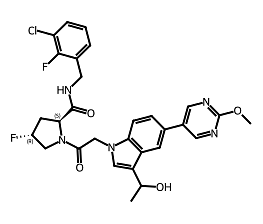 COc1ncc(-c2ccc3c(c2)c(C(C)O)cn3CC(=O)N2C[C@H](F)C[C@H]2C(=O)NCc2cccc(Cl)c2F)cn1